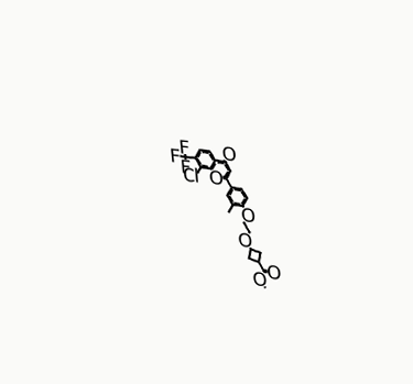 COC(=O)C1CC(OCCOc2ccc(-c3cc(=O)c4ccc(C(F)(F)F)c(Cl)c4o3)cc2C)C1